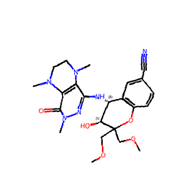 COCC1(COC)Oc2ccc(C#N)cc2[C@@H](Nc2nn(C)c(=O)c3c2N(C)CCN3C)[C@@H]1O